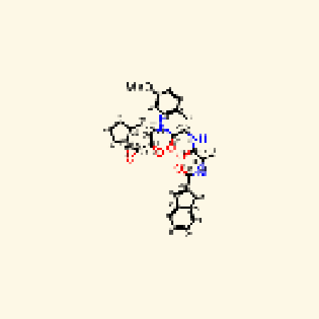 COc1ccc(C[C@H](NC(=O)[C@@H](C)NC(=O)C2=Cc3ccccc3C2)C(=O)N[C@@H](CC2CCCC2)C(=O)[C@H]2CO2)cc1